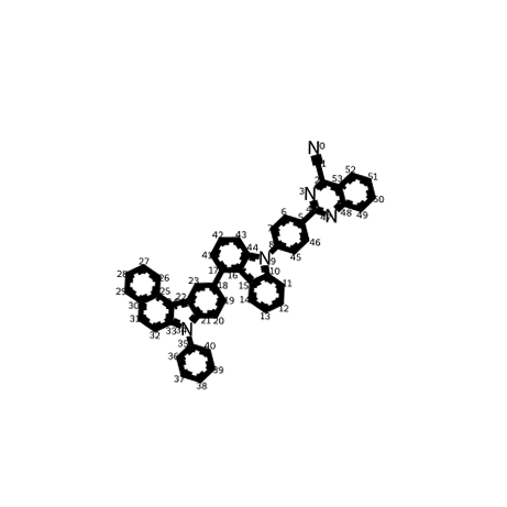 N#Cc1nc(-c2ccc(-n3c4ccccc4c4c(-c5ccc6c(c5)c5c7ccccc7ccc5n6-c5ccccc5)cccc43)cc2)nc2ccccc12